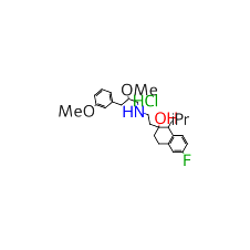 COc1cccc(CC(CNCCC2(O)CCc3cc(F)ccc3C2C(C)C)OC)c1.Cl